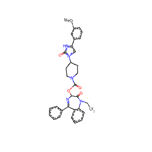 COc1cccc(-c2cn(C3CCN(C(=O)OC4N=C(c5ccccc5)c5ccccc5N(CC(F)(F)F)C4=O)CC3)c(=O)[nH]2)c1